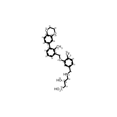 Cc1c(COc2cc(CNC[C@@H](O)CC(=O)O)ccc2C(F)(F)F)cccc1-c1ccc2c(c1)OCCO2